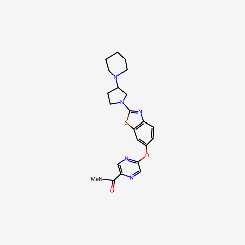 CNC(=O)c1cnc(Oc2ccc3nc(N4CCC(N5CCCCC5)C4)sc3c2)cn1